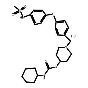 CS(=O)(=O)Nc1ccc(Oc2ccc(CN3CCC(OC(=O)NC4CCCCC4)CC3)cc2)cc1.Cl